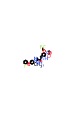 Cc1cc(Oc2ccccc2F)ccc1-n1ncc(C(=O)c2cc3cc(OCC(F)F)c(N4CCOC4=O)cc3[nH]2)c1N